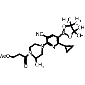 COCCC(=O)N1CCN(c2nc(C3CC3)c(B3OC(C)(C)C(C)(C)O3)cc2C#N)CC1C